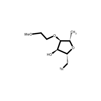 [2H]C[C@H]1O[C@@H](C)[C@H](OCCOC)[C@@H]1O